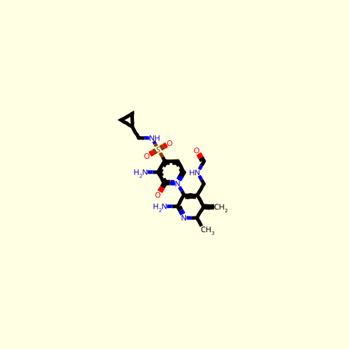 C=C1C(CNC=O)=C(n2ccc(S(=O)(=O)NCC3CC3)c(N)c2=O)C(N)=NC1C